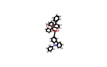 C1=CC2[C@@H](C=C1)OC1=CCCC=C1C21c2ccc(C3=CC4C5=C(CCC=C5)N(c5ccccc5)C4CC3)cc2Oc2ccc(-c3ccccc3)cc21